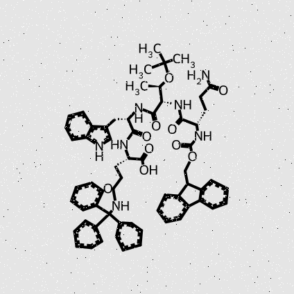 C[C@@H](OC(C)(C)C)[C@H](NC(=O)[C@H](CCC(N)=O)NC(=O)OCC1c2ccccc2-c2ccccc21)C(=O)N[C@@H](Cc1c[nH]c2ccccc12)C(=O)N[C@@H](CCC(=O)NC(c1ccccc1)(c1ccccc1)c1ccccc1)C(=O)O